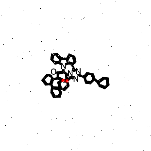 c1ccc(-c2ccc(-c3nc(-c4ccccc4)nc(-c4cccc5c6ccccc6n(-c6cccc7c6oc6cccc(-c8ccccc8)c67)c45)n3)cc2)cc1